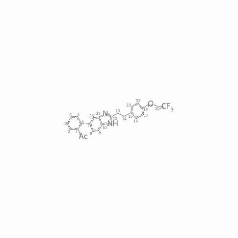 CC(=O)c1ccccc1-c1ccc2[nH]c(CCc3ccc(OCC(F)(F)F)cc3)nc2c1